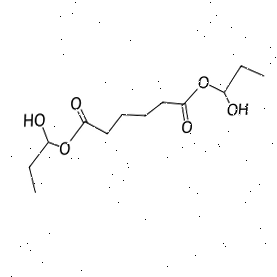 CCC(O)OC(=O)CCCCC(=O)OC(O)CC